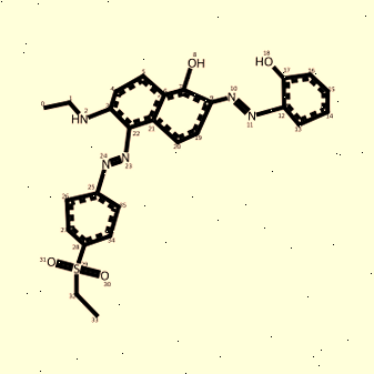 CCNc1ccc2c(O)c(/N=N/c3ccccc3O)ccc2c1/N=N/c1ccc(S(=O)(=O)CC)cc1